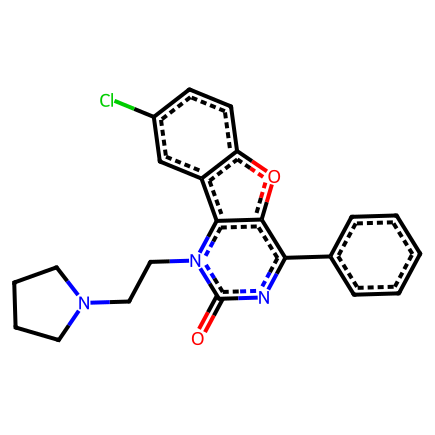 O=c1nc(-c2ccccc2)c2oc3ccc(Cl)cc3c2n1CCN1CCCC1